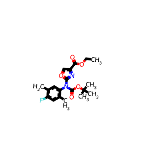 CCOC(=O)c1coc(N(C(=O)OC(C)(C)C)c2cc(C)c(F)cc2C)n1